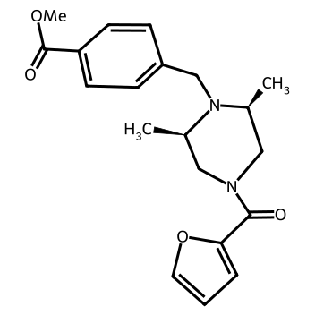 COC(=O)c1ccc(CN2[C@H](C)CN(C(=O)c3ccco3)C[C@@H]2C)cc1